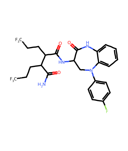 NC(=O)C(CCC(F)(F)F)C(CCC(F)(F)F)C(=O)NC1CN(c2ccc(F)cc2)c2ccccc2NC1=O